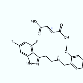 COc1ccccc1CNCCc1n[nH]c2cc(F)cc(F)c12.O=C(O)/C=C/C(=O)O